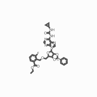 CCOC(=O)c1cccc(F)c1COCC1OC(n2cnc3c(NC(=O)NC4CC4)ncnc32)C2O[C@@H](c3ccccc3)OC12